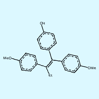 CCC(=C(c1ccc(O)cc1)c1ccc(OC)cc1)c1ccc(OC)cc1